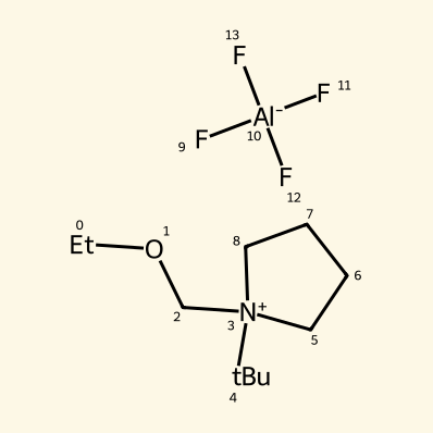 CCOC[N+]1(C(C)(C)C)CCCC1.[F][Al-]([F])([F])[F]